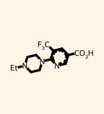 CCN1CCN(c2ncc(C(=O)O)cc2C(F)(F)F)CC1